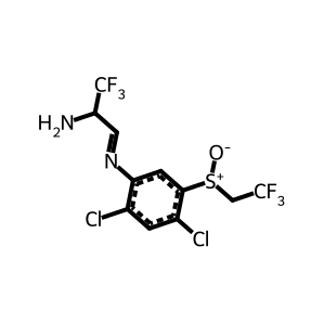 NC(C=Nc1cc([S+]([O-])CC(F)(F)F)c(Cl)cc1Cl)C(F)(F)F